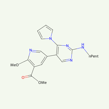 CCCCCNc1ncc(-c2cnc(OC)c(C(=O)OC)c2)c(-n2cccc2)n1